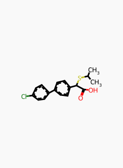 CC(C)SC(C(=O)O)c1ccc(-c2ccc(Cl)cc2)cc1